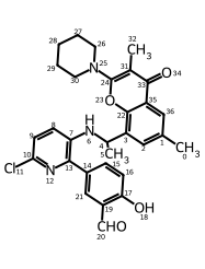 Cc1cc(C(C)Nc2ccc(Cl)nc2-c2ccc(O)c(C=O)c2)c2oc(N3CCCCC3)c(C)c(=O)c2c1